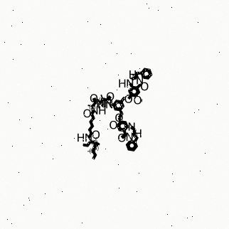 CCC(NC(=O)CCCCC(=O)N[C@@H](C)C(=O)N[C@@H](C)C(=O)Nc1cc(COc2cc3c(cc2OC)C(=O)N2c4ccccc4C[C@H]2C=N3)cc(COc2cc3c(cc2OC)C(=O)N2c4ccccc4C[C@H]2CN3)c1)[C@@]1(C)C[C@H]1[C@@H](C)CC